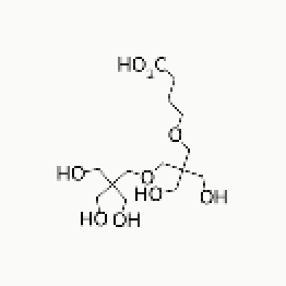 O=C(O)CCCOCC(CO)(CO)COCC(CO)(CO)CO